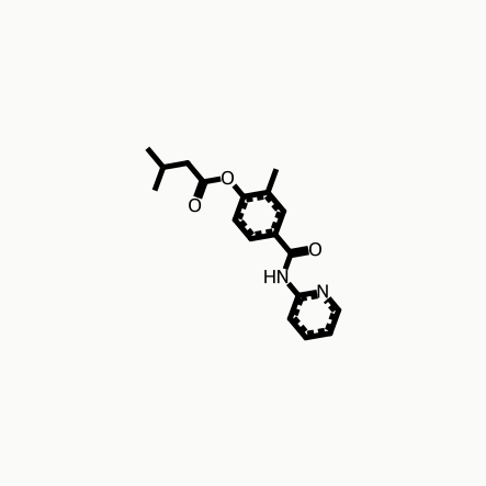 Cc1cc(C(=O)Nc2ccccn2)ccc1OC(=O)CC(C)C